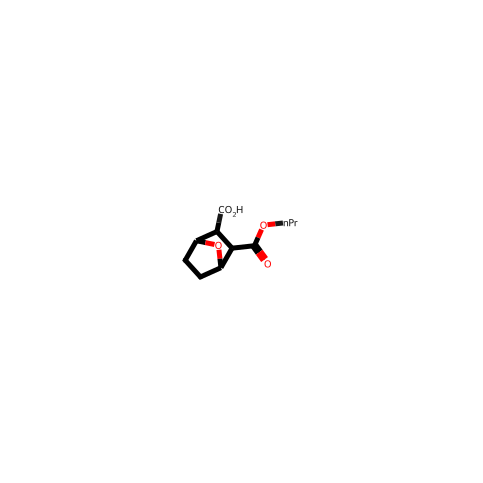 CCCOC(=O)C1C2CCC(O2)C1C(=O)O